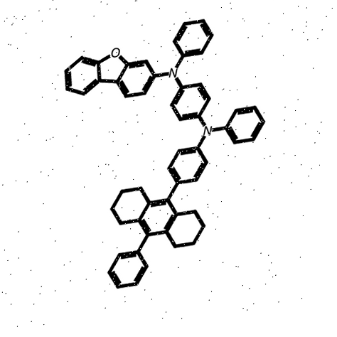 c1ccc(-c2c3c(c(-c4ccc(N(c5ccccc5)c5ccc(N(c6ccccc6)c6ccc7c(c6)oc6ccccc67)cc5)cc4)c4c2CCCC4)CCCC3)cc1